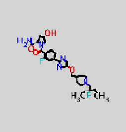 CCC(F)(CC)CN1CCC(COc2cnc(-c3ccc(C(=O)N4C[C@H](O)C[C@H]4C(N)=O)c(F)c3)nc2)CC1